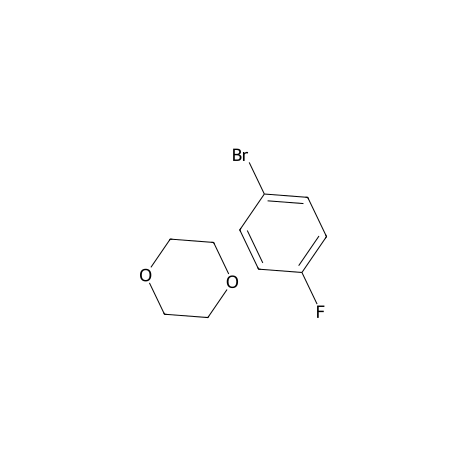 C1COCCO1.Fc1ccc(Br)cc1